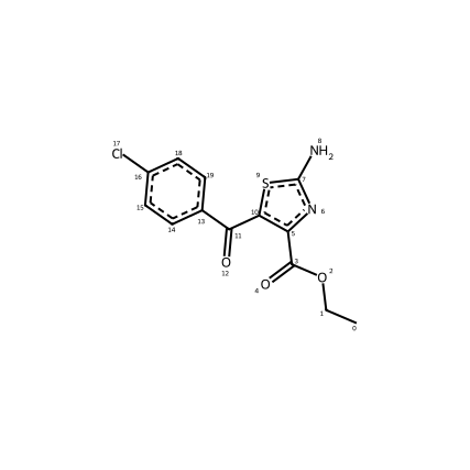 CCOC(=O)c1nc(N)sc1C(=O)c1ccc(Cl)cc1